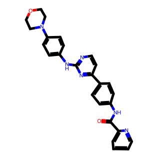 O=C(Nc1ccc(-c2ccnc(Nc3ccc(N4CCOCC4)cc3)n2)cc1)c1ccccn1